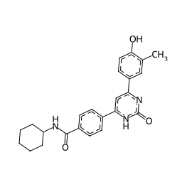 Cc1cc(-c2cc(-c3ccc(C(=O)NC4CCCCC4)cc3)[nH]c(=O)n2)ccc1O